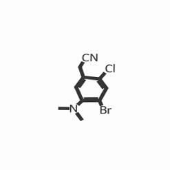 CN(C)c1cc(CC#N)c(Cl)cc1Br